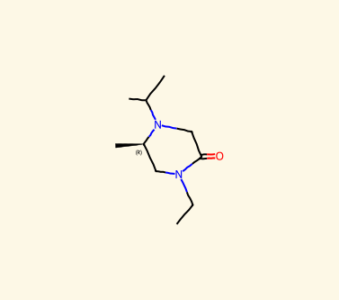 CCN1C[C@@H](C)N(C(C)C)CC1=O